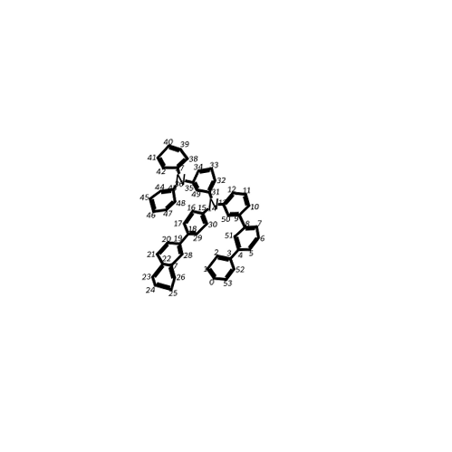 c1ccc(-c2cccc(-c3cccc(N(c4ccc(-c5ccc6ccccc6c5)cc4)c4cccc(N(c5ccccc5)c5ccccc5)c4)c3)c2)cc1